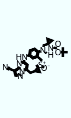 CN(CC1(NC(=O)OC(C)(C)C)CC1)c1ccc(Nc2cc(CC3CC3)n3ncc(C#N)c3n2)cc1C[S+](C)[O-]